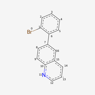 Brc1ccccc1-c1ccc2nc[c]cc2c1